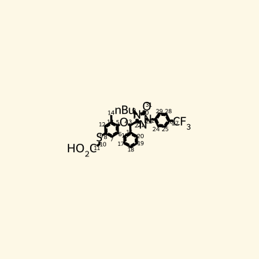 CCCCn1c(C(Oc2ccc(SCC(=O)O)cc2C)c2ccccc2)nn(-c2ccc(C(F)(F)F)cc2)c1=O